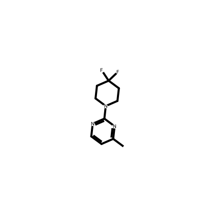 Cc1ccnc(N2CCC(F)(F)CC2)n1